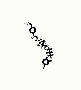 CCC1=CCC([S+]([O-])CNS(=O)(=O)C(F)(F)[C@](C)(F)C(F)(F)OC(F)(F)C(F)(F)C(F)(F)Sc2ccc(F)cc2F)C=C1